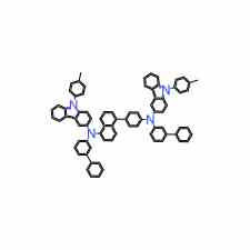 Cc1ccc(-n2c3ccccc3c3cc(N(c4ccc(-c5cccc6c(N(c7cccc(-c8ccccc8)c7)c7ccc8c(c7)c7ccccc7n8-c7ccc(C)cc7)cccc56)cc4)c4cccc(-c5ccccc5)c4)ccc32)cc1